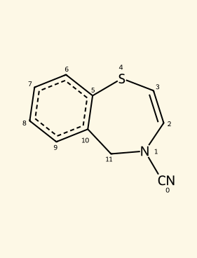 N#CN1C=CSc2ccccc2C1